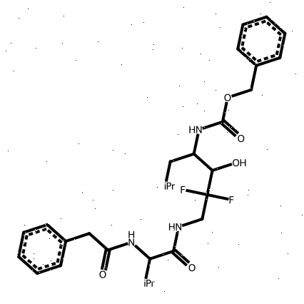 CC(C)CC(NC(=O)OCc1ccccc1)C(O)C(F)(F)CNC(=O)C(NC(=O)Cc1ccccc1)C(C)C